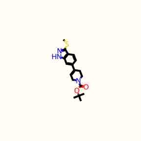 CSc1n[nH]c2cc(C3=CCN(C(=O)OC(C)(C)C)CC3)ccc12